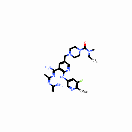 C=C(N)/N=C(C)\N=C(/N)c1cc(CN2CCN(C(=O)N(C)CC(F)(F)F)CC2)cnc1Nc1cnc(OC)c(F)c1